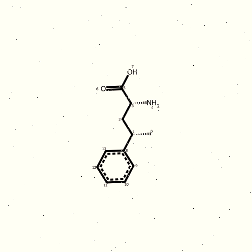 C[C@@H](C[C@@H](N)C(=O)O)c1ccccc1